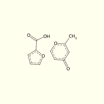 Cc1cc(=O)cco1.O=C(O)c1ccco1